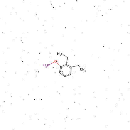 CCc1cccc(OP)c1CC